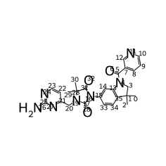 CC1(C)CN(C(=O)c2cccnc2)c2cc(N3C(=O)N(Cc4ccnc(N)n4)C(C)(C)C3=O)ccc21